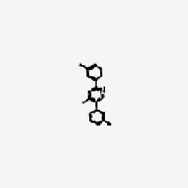 CC1=CCCC(c2cc(C)c(-c3cccc(C)c3)cn2)=C1